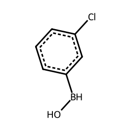 OBc1cccc(Cl)c1